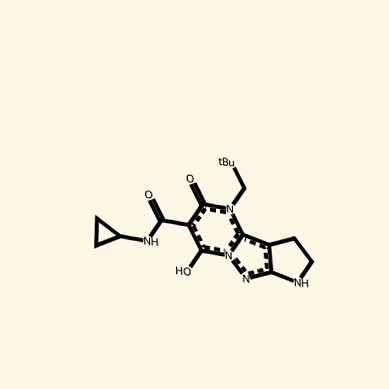 CC(C)(C)Cn1c(=O)c(C(=O)NC2CC2)c(O)n2nc3c(c12)CCN3